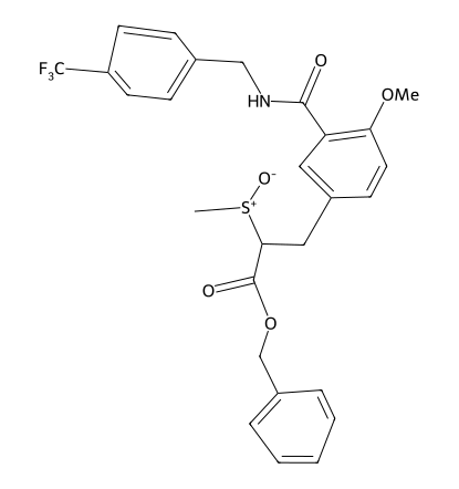 COc1ccc(CC(C(=O)OCc2ccccc2)[S+](C)[O-])cc1C(=O)NCc1ccc(C(F)(F)F)cc1